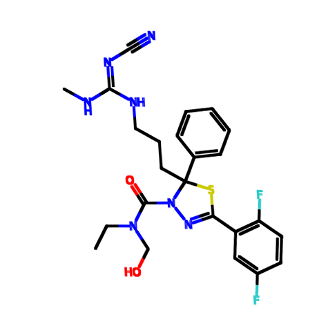 CCN(CO)C(=O)N1N=C(c2cc(F)ccc2F)SC1(CCCN/C(=N\C#N)NC)c1ccccc1